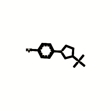 C[Si](C)(C)C1CCN(c2ccc(N)cc2)C1